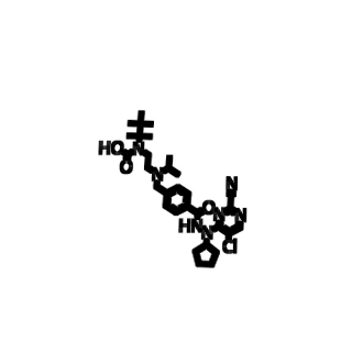 CC(C)N(CCN(C(=O)O)C(C)(C)C(C)(C)C)Cc1ccc(C(=O)NN(c2nc(C#N)ncc2Cl)C2CCCC2)cc1